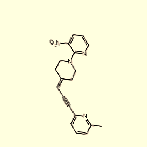 Cc1cccc(C#CC=C2CCN(c3ncccc3[N+](=O)[O-])CC2)n1